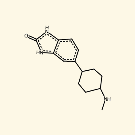 CNC1CCC(c2ccc3[nH]c(=O)[nH]c3c2)CC1